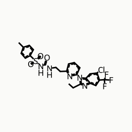 CCc1nc2cc(C(F)(F)F)c(Cl)cc2n1-c1cccc(CCNC(=O)NS(=O)(=O)c2ccc(C)cc2)n1